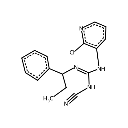 CCC(N=C(NC#N)Nc1cccnc1Cl)c1ccccc1